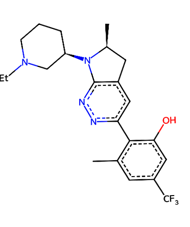 CCN1CCC[C@@H](N2c3nnc(-c4c(C)cc(C(F)(F)F)cc4O)cc3C[C@@H]2C)C1